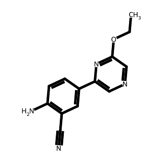 CCOc1cncc(-c2ccc(N)c(C#N)c2)n1